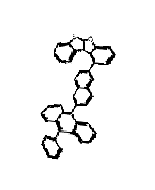 c1ccc(-c2c3ccccc3c(-c3ccc4cc(-c5cccc6oc7sc8ccccc8c7c56)ccc4c3)c3ccccc23)cc1